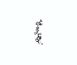 O=C(NCC12CC(Cc3c(C(F)(F)F)cnn3C1)C2)N1CC2(CC(c3nnc(C4CC4)[nH]3)C2)C1